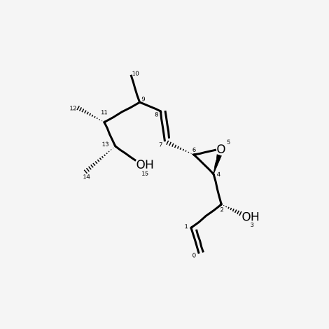 C=C[C@@H](O)[C@@H]1O[C@H]1/C=C/C(C)[C@@H](C)[C@@H](C)O